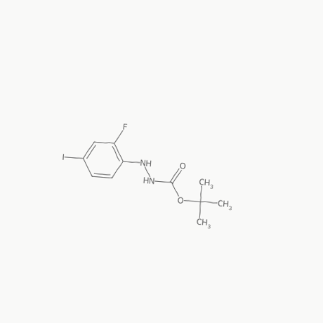 CC(C)(C)OC(=O)NNc1ccc(I)cc1F